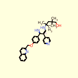 CC(C)(CO)CC(C)(C)N/C=C(\C(=N)c1ccc(OCc2ccc3ccccc3n2)cc1)c1ccncc1